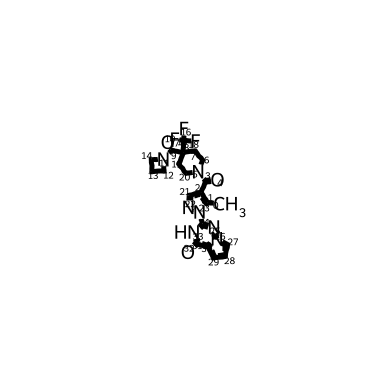 Cc1c(C(=O)N2CCC(C(=O)N3CCC3)(C(F)(F)F)CC2)cnn1-c1nn2cccc2c(=O)[nH]1